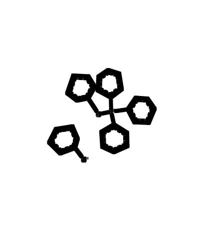 [O-]c1ccccc1.c1ccc(O[P+](c2ccccc2)(c2ccccc2)c2ccccc2)cc1